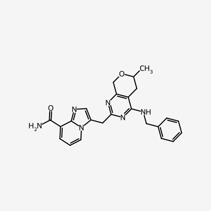 CC1Cc2c(nc(Cc3cnc4c(C(N)=O)cccn34)nc2NCc2ccccc2)CO1